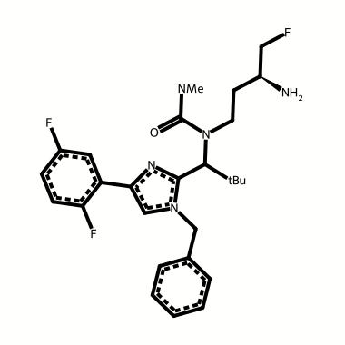 CNC(=O)N(CC[C@H](N)CF)C(c1nc(-c2cc(F)ccc2F)cn1Cc1ccccc1)C(C)(C)C